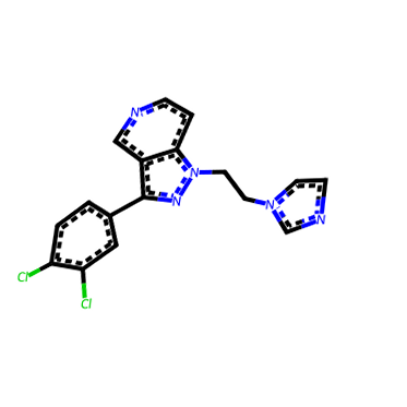 Clc1ccc(-c2nn(CCn3ccnc3)c3ccncc23)cc1Cl